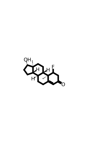 C[C@]12CC[C@H]3[C@@H](CCC4=CC(=O)CC(F)[C@@]43C)[C@@H]1CC[C@@H]2O